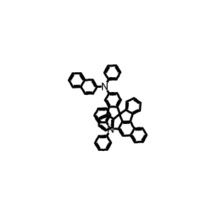 c1ccc(N(c2ccc3c(c2)-c2ccccc2C32c3ccccc3-c3c2c(N(c2ccccc2)c2ccccc2)cc2ccccc32)c2ccc3ccccc3c2)cc1